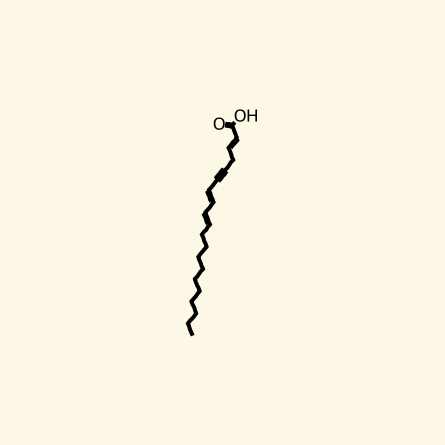 CCCCCCCCCCC=CC=CC#CCC=CC(=O)O